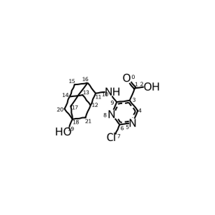 O=C(O)c1cnc(Cl)nc1NC1C2CC3CC1CC(O)(C3)C2